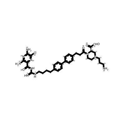 N=C(NCCCCc1ccc(-c2ccc(CCC(=O)N3CCN(CCCN)C[C@@H]3C(=O)C=O)cc2)cc1)NC(=O)c1nc(Cl)c(N)nc1N